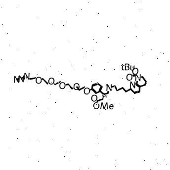 COC(=O)C[C@H](CN(C)CCCCc1ccc2c(n1)N(C(=O)OC(C)(C)C)CCC2)c1cccc(OCCOCCOCCOCCOCCN=[N+]=[N-])c1